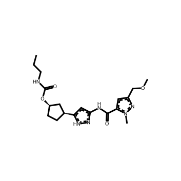 CCCNC(=O)O[C@@H]1CC[C@H](c2cc(NC(=O)c3cc(COC)nn3C)n[nH]2)C1